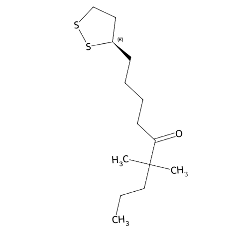 CCCC(C)(C)C(=O)CCCC[C@@H]1CCSS1